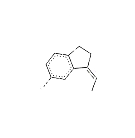 C/C=C1/CCc2ccc(Br)cc21